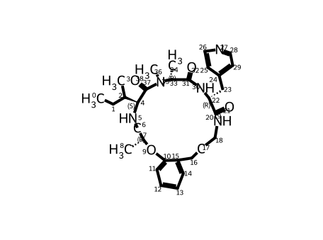 CCC(C)[C@@H]1NC[C@@H](C)Oc2ccccc2CCCNC(=O)[C@@H](Cc2ccncc2)NC(=O)[C@@H](C)N(C)C1=O